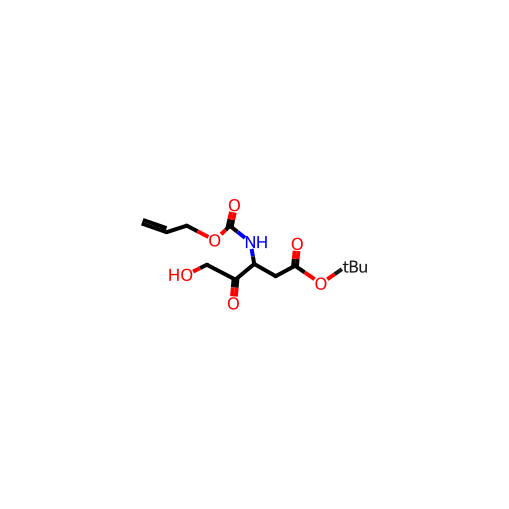 C=CCOC(=O)NC(CC(=O)OC(C)(C)C)C(=O)CO